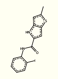 Cc1cc2[nH]c(C(=O)Nc3ccccc3I)cc2s1